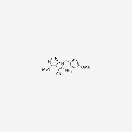 CNc1ncnc2c1c(C#N)c(N)n2Cc1ccc(OC)cc1